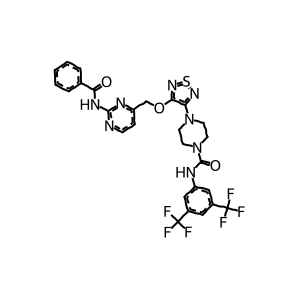 O=C(Nc1nccc(COc2nsnc2N2CCN(C(=O)Nc3cc(C(F)(F)F)cc(C(F)(F)F)c3)CC2)n1)c1ccccc1